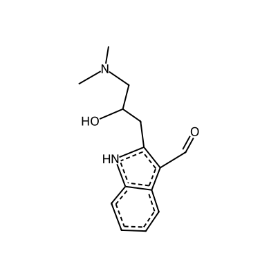 CN(C)CC(O)Cc1[nH]c2ccccc2c1C=O